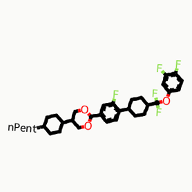 CCCCCC1CCC(C2COC(c3ccc(C4CCC(C(F)(F)Oc5ccc(F)c(F)c5)CC4)c(F)c3)OC2)CC1